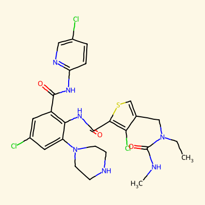 CCN(Cc1csc(C(=O)Nc2c(C(=O)Nc3ccc(Cl)cn3)cc(Cl)cc2N2CCNCC2)c1Cl)C(=O)NC